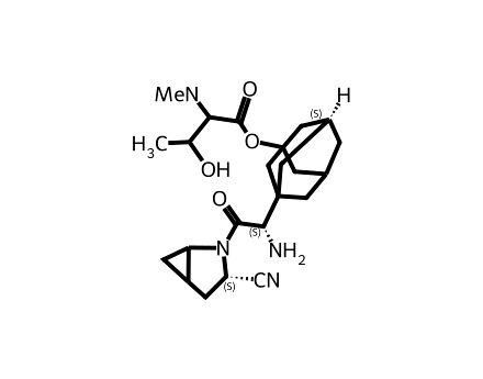 CNC(C(=O)OC12CC3C[C@H](C1)CC([C@H](N)C(=O)N1C4CC4C[C@H]1C#N)(C3)C2)C(C)O